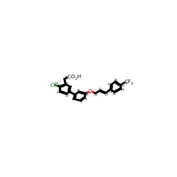 O=C(O)Cc1cc(-c2cccc(OC/C=C/c3ccc(C(F)(F)F)cc3)c2)ccc1Cl